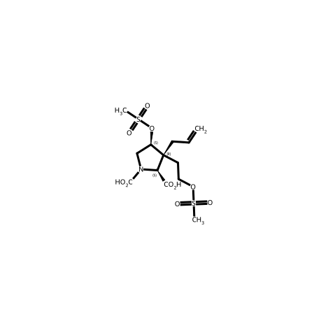 C=CC[C@]1(CCOS(C)(=O)=O)[C@H](OS(C)(=O)=O)CN(C(=O)O)[C@@H]1C(=O)O